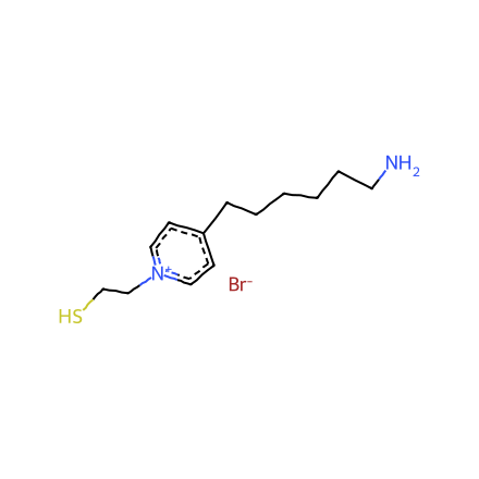 NCCCCCCc1cc[n+](CCS)cc1.[Br-]